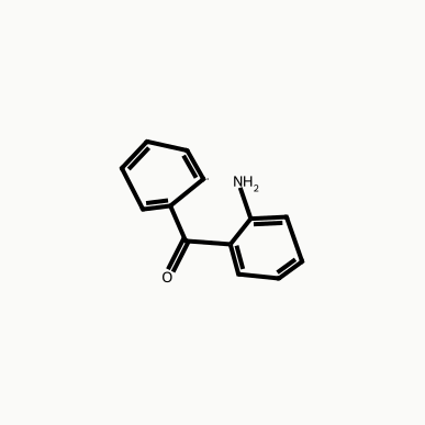 Nc1ccccc1C(=O)c1[c]cccc1